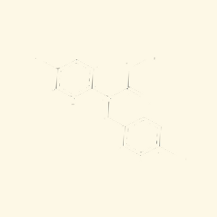 CC(=O)c1ccc(N(Cc2ccc(C(F)(F)F)cc2)C(=O)OC(C)(C)C)nc1